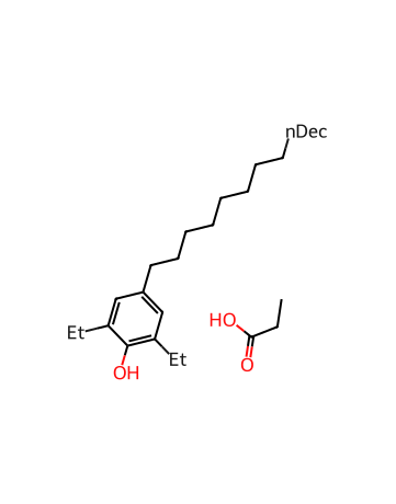 CCC(=O)O.CCCCCCCCCCCCCCCCCCc1cc(CC)c(O)c(CC)c1